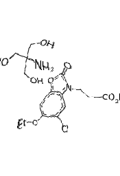 CCOc1cc2oc(=O)n(CCC(=O)O)c2cc1Cl.NC(CO)(CO)CO